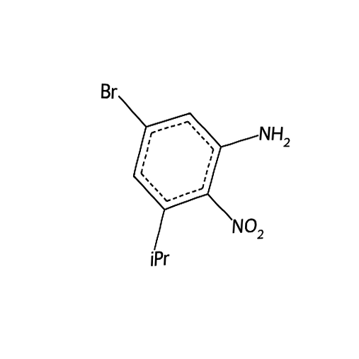 CC(C)c1cc(Br)cc(N)c1[N+](=O)[O-]